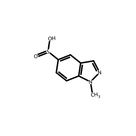 Cn1ncc2cc(S(=O)O)ccc21